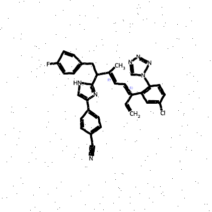 C=C/C(=C\C=C(/C)C(Cc1ccc(F)cc1)c1nc(-c2ccc(C#N)cc2)c[nH]1)c1cc(Cl)ccc1-n1cnnn1